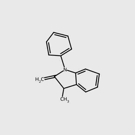 C=C1C(C)c2ccccc2N1c1ccccc1